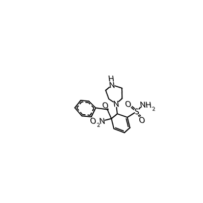 NS(=O)(=O)C1=CC=CC(C(=O)c2ccccc2)([N+](=O)[O-])C1N1CCNCC1